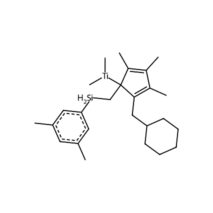 CC1=C(C)[C](C[SiH2]c2cc(C)cc(C)c2)([Ti]([CH3])[CH3])C(CC2CCCCC2)=C1C